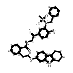 CS(=O)(=O)N(Cc1ccccc1)c1cc(C(=O)CNC(=O)c2ccccc2CCOc2ccc3c4c([nH]c3c2)CCCC4)ccc1Br